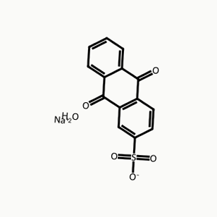 O.O=C1c2ccccc2C(=O)c2cc(S(=O)(=O)[O-])ccc21.[Na+]